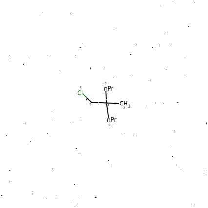 CCCC(C)(CCl)CCC